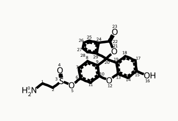 NCCS(=O)Oc1ccc2c(c1)Oc1cc(O)ccc1C21OC(=O)c2ccccc21